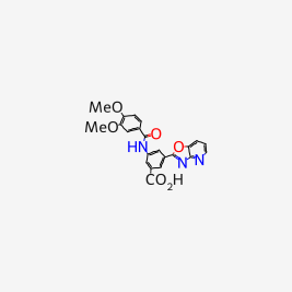 COc1ccc(C(=O)Nc2cc(C(=O)O)cc(-c3nc4ncccc4o3)c2)cc1OC